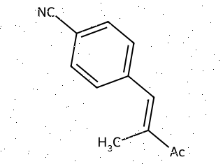 CC(=O)C(C)=Cc1ccc(C#N)cc1